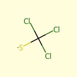 [S]C(Cl)(Cl)Cl